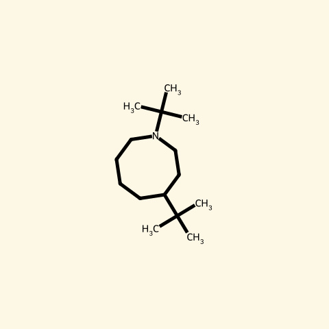 CC(C)(C)C1CCCCN(C(C)(C)C)CC1